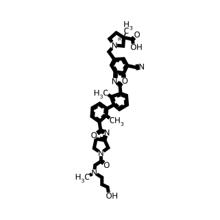 Cc1c(-c2nc3c(o2)CN(C(=O)CN(C)CCCO)C3)cccc1-c1cccc(-c2nc3cc(CN4CC[C@@](C)(C(=O)O)C4)cc(C#N)c3o2)c1C